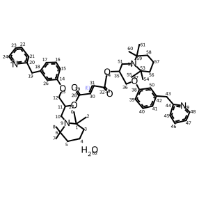 CC1(C)CCCC(C)(C)N1CC(COc1cccc(Cc2ccccn2)c1)OC(=O)/C=C/C(=O)OC(COc1cccc(Cc2ccccn2)c1)CN1C(C)(C)CCCC1(C)C.O